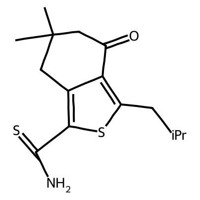 CC(C)Cc1sc(C(N)=S)c2c1C(=O)CC(C)(C)C2